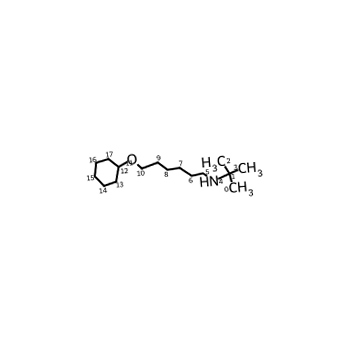 CC(C)(C)NCCCCCCOC1CCCCC1